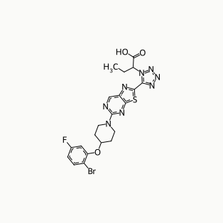 CCC(C(=O)O)n1nnnc1-c1nc2cnc(N3CCC(Oc4cc(F)ccc4Br)CC3)nc2s1